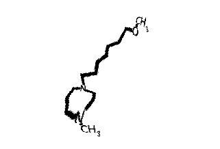 COCCCCCCCN1CCCN(C)CC1